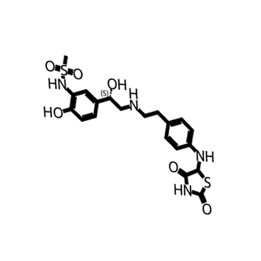 CS(=O)(=O)Nc1cc([C@H](O)CNCCc2ccc(NC3SC(=O)NC3=O)cc2)ccc1O